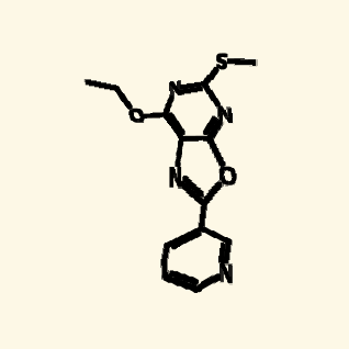 CCOc1nc(SC)nc2oc(-c3cccnc3)nc12